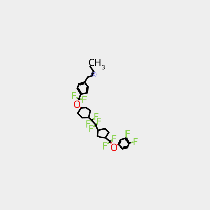 CC/C=C\Cc1ccc(C(F)(F)OC2CCC(C(F)(F)C(F)(F)C3CCC(C(F)(F)Oc4ccc(F)c(F)c4)CC3)CC2)cc1